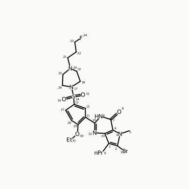 CCCc1c(Br)n(C)c2c(=O)[nH]c(-c3cc(S(=O)(=O)N4CCN(CCCF)CC4)ccc3OCC)nc12